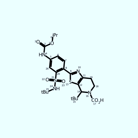 CC(C)OC(=O)Nc1ccc(-c2nc3c(s2)C(C(C)(C)C)N(C(=O)O)CC3)c(S(=O)(=O)NC(C)(C)C)c1